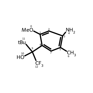 COc1cc(N)c(C)cc1C(O)(C(C)(C)C)C(F)(F)F